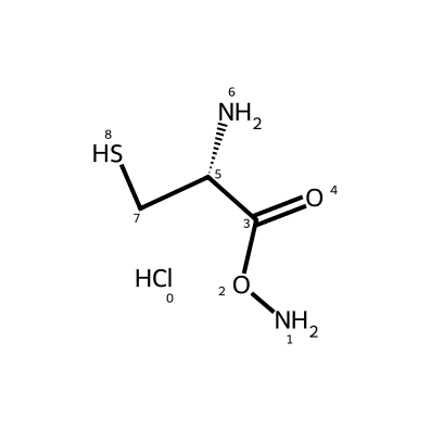 Cl.NOC(=O)[C@@H](N)CS